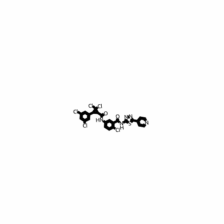 O=C(Nc1nnc(-c2ccncc2)s1)c1cc(NC(=O)C2C(c3cc(Cl)cc(Cl)c3)C2(Cl)Cl)ccc1Cl